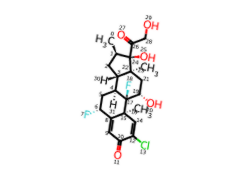 C[C@@H]1C[C@H]2[C@@H]3C[C@@H](F)C4=CC(=O)C(Cl)=C[C@]4(C)[C@@]3(F)[C@@H](O)C[C@]2(C)[C@@]1(O)C(=O)CO